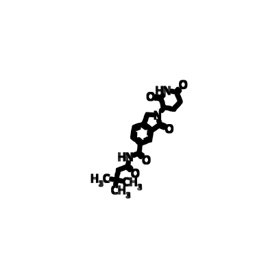 CC(C)(C)CC(=O)NC(=O)c1ccc2c(c1)C(=O)N(C1CCC(=O)NC1=O)C2